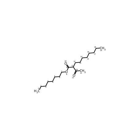 CCCCCCCCOC(=O)C(CCCCCCCC)C(C)=O